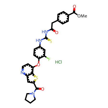 COC(=O)c1ccc(CC(=O)NC(=S)Nc2ccc(Oc3ccnc4cc(C(=O)N5CCCC5)sc34)c(F)c2)cc1.Cl